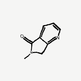 CN1Cc2ncccc2C1=O